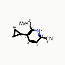 COc1nc(C#N)ccc1C1CC1